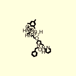 Cc1cc(C)c(S(=O)(=O)NC(C)(NC(=O)COC2CC(CNc3ccccn3)N(C(=O)Cc3ccccc3)C2)C(=O)O)c(C)c1